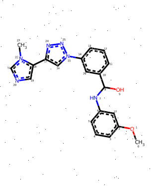 COc1cccc(NC(O)c2cccc(-n3cc(-c4cncn4C)nn3)c2)c1